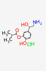 CC(C)C(=O)Oc1cc(C(O)CN)ccc1O.Cl